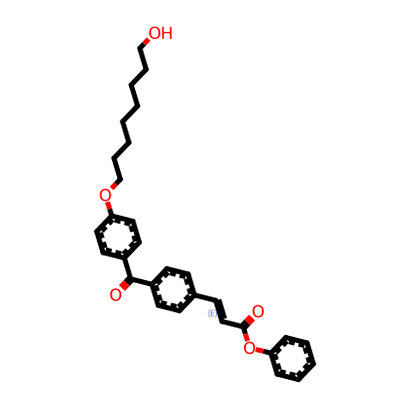 O=C(/C=C/c1ccc(C(=O)c2ccc(OCCCCCCCCO)cc2)cc1)Oc1ccccc1